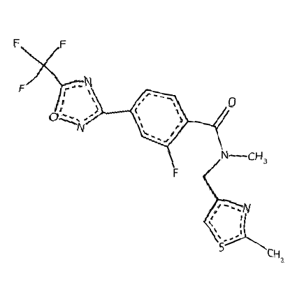 Cc1nc(CN(C)C(=O)c2ccc(-c3noc(C(F)(F)F)n3)cc2F)cs1